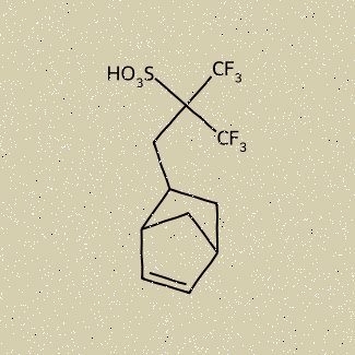 O=S(=O)(O)C(CC1CC2C=CC1C2)(C(F)(F)F)C(F)(F)F